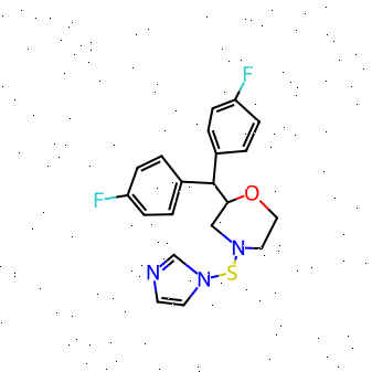 Fc1ccc(C(c2ccc(F)cc2)C2CN(Sn3ccnc3)CCO2)cc1